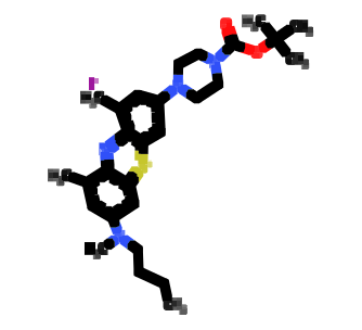 CCCCN(C)c1cc(C)c2nc3c(C)cc(N4CCN(C(=O)OC(C)(C)C)CC4)cc3[s+]c2c1.[I-]